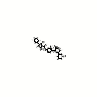 Cc1c(C(=O)Nc2ccc(-c3nc(C4CCCNC4)cnc3N)cc2)c(=O)n(-c2ccccc2)n1C